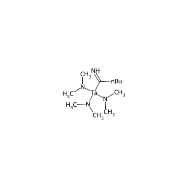 CCCC[C](=N)[Ta]([N](C)C)([N](C)C)[N](C)C